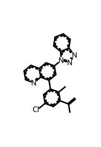 C=C(C)c1cc(Cl)cc(-c2cc(-n3nnc4ccccc43)cc3cccnc23)c1C